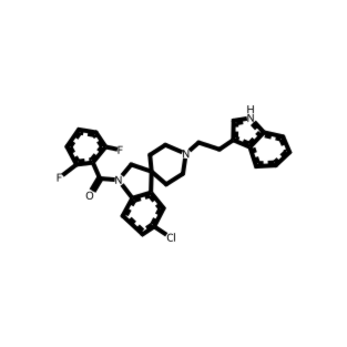 O=C(c1c(F)cccc1F)N1CC2(CCN(CCc3c[nH]c4ccccc34)CC2)c2cc(Cl)ccc21